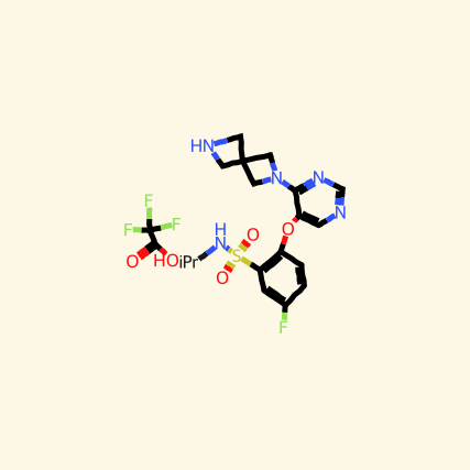 CC(C)NS(=O)(=O)c1cc(F)ccc1Oc1cncnc1N1CC2(CNC2)C1.O=C(O)C(F)(F)F